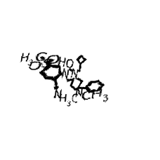 CN(C)[C@]1(c2ccccc2)CC[C@]2(CC1)CN(c1cc(S(C)(=O)=O)ccc1C#N)C(O)N2CC1CCC1